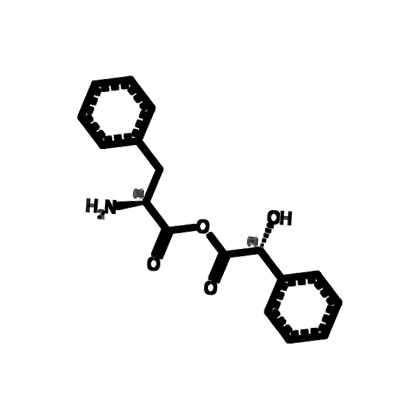 N[C@@H](Cc1ccccc1)C(=O)OC(=O)[C@H](O)c1ccccc1